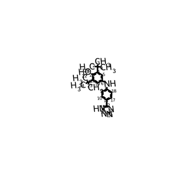 CC(C)(C)c1cc(Nc2ccc(-c3nnn[nH]3)cc2)cc(C(C)(C)C)c1O